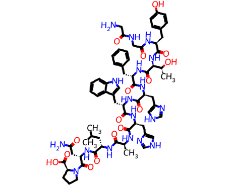 CC(C)C[C@H](NC(=O)[C@H](C)NC(=O)[C@H](Cc1c[nH]cn1)NC(=O)[C@H](Cc1c[nH]c2ccccc12)NC(=O)[C@H](Cc1c[nH]cn1)NC(=O)[C@H](Cc1ccccc1)NC(=O)[C@@H](NC(=O)[C@H](Cc1ccc(O)cc1)NC(=O)CNC(=O)CN)[C@@H](C)O)C(=O)N[C@@H](CC(N)=O)C(=O)N1CCC[C@H]1C(=O)O